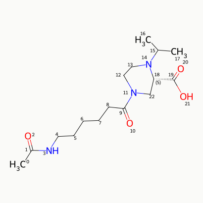 CC(=O)NCCCCCC(=O)N1CCN(C(C)C)[C@H](C(=O)O)C1